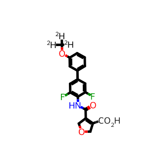 [2H]C([2H])([2H])Oc1cccc(-c2cc(F)c(NC(=O)C3=C(C(=O)O)COC3)c(F)c2)c1